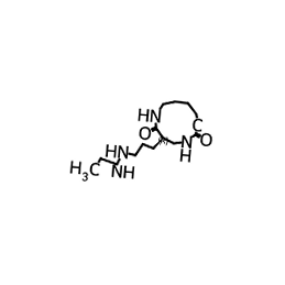 CCC(=N)NCCC[C@@H]1CNC(=O)CCCCCNC1=O